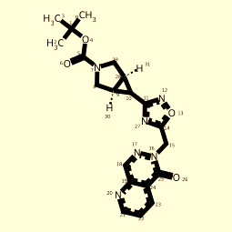 CC(C)(C)OC(=O)N1C[C@@H]2C(c3noc(Cn4ncc5ncccc5c4=O)n3)[C@@H]2C1